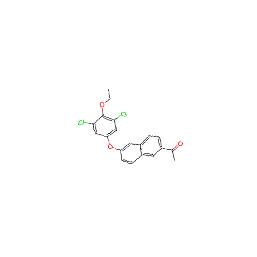 CCOc1c(Cl)cc(Oc2ccc3cc(C(C)=O)ccc3c2)cc1Cl